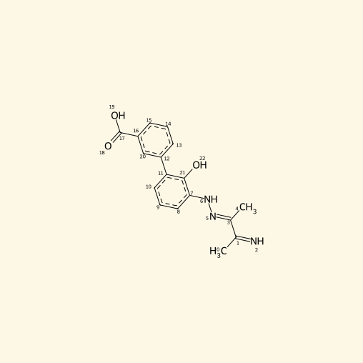 CC(=N)/C(C)=N/Nc1cccc(-c2cccc(C(=O)O)c2)c1O